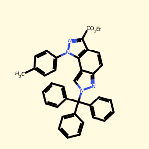 CCOC(=O)c1nn(-c2ccc(C)cc2)c2c1ccc1nn(C(c3ccccc3)(c3ccccc3)c3ccccc3)cc12